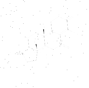 C=C1C[C@@H]2[C@H](CC[C@]3(C)C(=O)[C@@H](F)C[C@@H]23)[C@@]2(C)CCC(=O)C(S)=C12